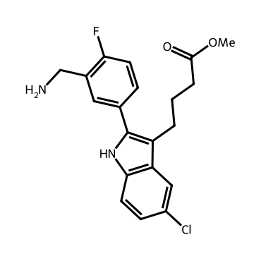 COC(=O)CCCc1c(-c2ccc(F)c(CN)c2)[nH]c2ccc(Cl)cc12